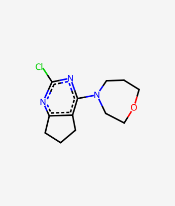 Clc1nc2c(c(N3CCCOCC3)n1)CCC2